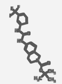 CC(C)(C)OC(=O)N1CCc2cc(NC(=O)Nc3cccc(C(F)(F)F)c3)ccc2C1